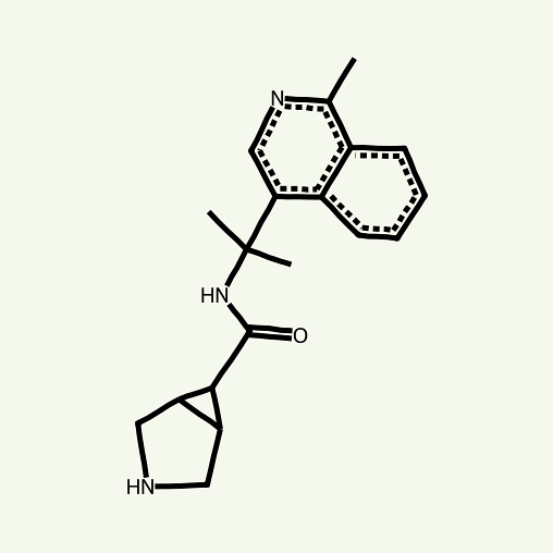 Cc1ncc(C(C)(C)NC(=O)C2C3CNCC32)c2ccccc12